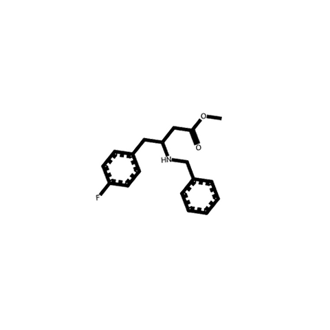 COC(=O)CC(Cc1ccc(F)cc1)NCc1ccccc1